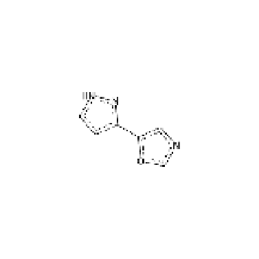 c1cc(-c2cnco2)n[nH]1